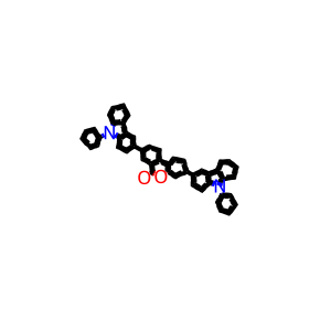 O=c1oc2cc(-c3ccc4c(c3)c3ccccc3n4-c3ccccc3)ccc2c2ccc(-c3ccc4c(c3)c3ccccc3n4-c3ccccc3)cc12